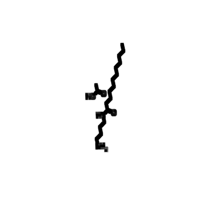 CC(=O)O.CCCCCCCCCCCC(=O)NCCCCN